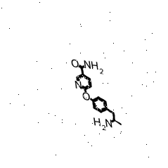 C[C@@H](N)Cc1ccc(Oc2ccc(C(N)=O)cn2)cc1